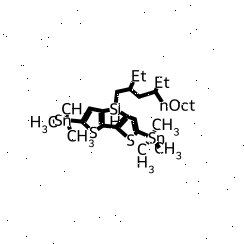 CCCCCCCCC(CC)CC(CC)C[SiH]1c2c[c]([Sn]([CH3])([CH3])[CH3])sc2-c2s[c]([Sn]([CH3])([CH3])[CH3])cc21